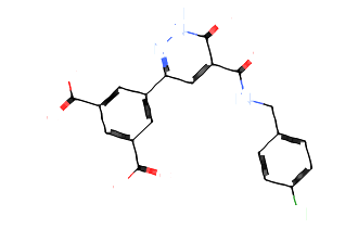 O=C(O)c1cc(C(=O)O)cc(-c2cc(C(=O)NCc3ccc(Cl)cc3)c(=O)[nH]n2)c1